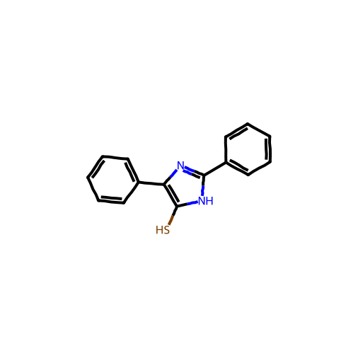 Sc1[nH]c(-c2ccccc2)nc1-c1ccccc1